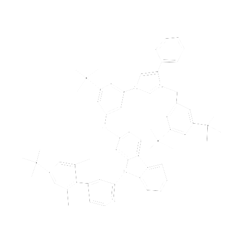 Cc1cc(C(C)(C)C)cc(C)c1-c1ccnc(-n2c3ccccc3c3ccc(Oc4cc(-n5cc(-c6ccccc6)[n+](Cc6cc(C(C)(C)C)cc(C(C)(C)C)c6)c5)cc(C(C)(C)C)c4)cc32)c1